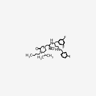 CCCCN1C(=O)CN(CC(=O)N[C@@H](Cc2cc(F)cc(F)c2)[C@@H](O)CNCc2cccc(I)c2)C[C@@H]1C(C)C